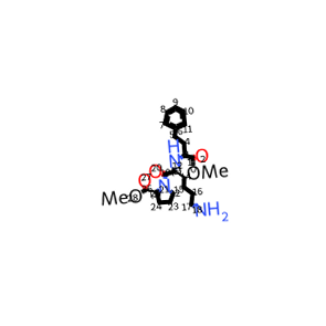 COC(=O)C(CCc1ccccc1)N[C@@H](CCCCN)C(=O)N1CCC[C@H]1C(=O)OC